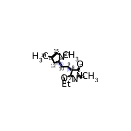 CCOC1=NN(C)C(=O)/C1=C/C=C1/CC(C)=CN1C